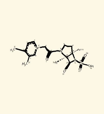 Cc1cc[n+](CC(=O)N2CC[C@@H]3[C@H]2C(=O)N3S(=O)(=O)O)cc1C